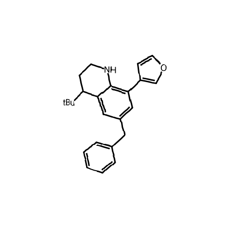 CC(C)(C)C1CCNc2c(-c3ccoc3)cc(Cc3ccccc3)cc21